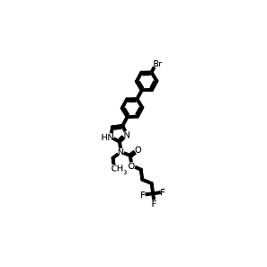 CCN(C(=O)OCCCC(F)(F)F)c1nc(-c2ccc(-c3ccc(Br)cc3)cc2)c[nH]1